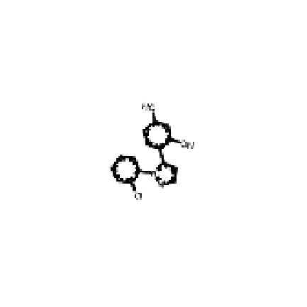 Oc1ccc(-c2ccnn2-c2ccccc2Cl)c(O)c1